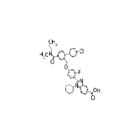 CCCN(C)C(=O)c1ccc(-c2ccc(Cl)cc2)c(COc2ccc(-c3nc4cc(C(=O)O)ccc4n3C3CCCCC3)c(F)c2)c1